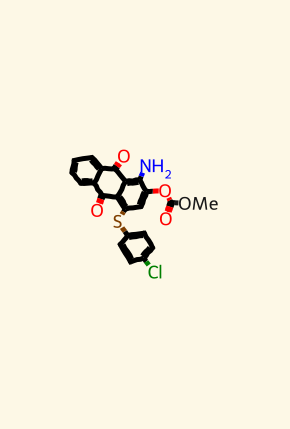 COC(=O)Oc1cc(Sc2ccc(Cl)cc2)c2c(c1N)C(=O)c1ccccc1C2=O